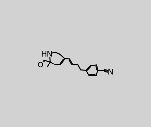 CC1(C=O)CC=C(/C=C/CCc2ccc(C#N)cc2)CCN1